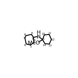 COC1(NC2CCCCCC2)CCCCC1